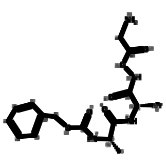 CCC[C@H](NC(=O)[C@H](C)NC(=O)OCc1ccccc1)C(=O)NOC(=O)CN